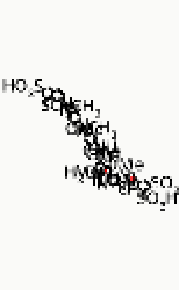 C/C=c1/cc(S(=O)(=O)O)cc(S(=O)(=O)O)/c1=C/C/N=N\c1cc(OC)c(/N=N\c2cc(OC)c(NC(=O)Nc3cc(C)c(N=Nc4cc(C)c(N=Nc5ccc6cc(S(=O)(=O)O)cc(S(=O)(=O)O)c6c5)cc4OC)cc3OC)cc2C)cc1C